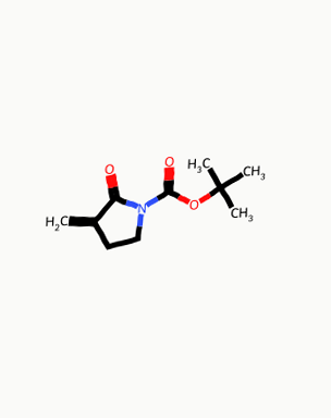 C=C1CCN(C(=O)OC(C)(C)C)C1=O